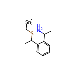 CC(N)c1ccccc1C(C)S[CH2][Sn]